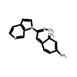 C=c1cc(N)cc/c1=C/C(=N\C)n1ccc2ccncc21